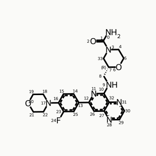 NC(=O)N1CCO[C@H](CNc2nc(-c3ccc(N4CCOCC4)c(F)c3)cc3nccnc23)C1